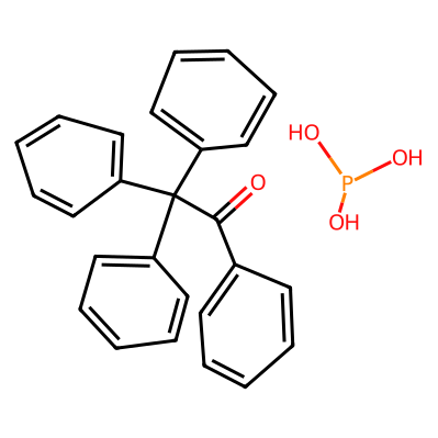 O=C(c1ccccc1)C(c1ccccc1)(c1ccccc1)c1ccccc1.OP(O)O